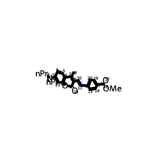 CCCN(CCC)c1ccc2c(C)c(/C=C/c3ccc(C(=O)OC)cc3)c(=O)oc2c1